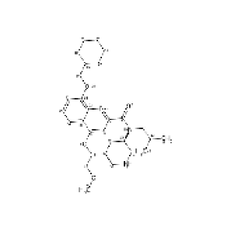 COCCOc1cc(C(=O)N(CC(C)C)[C@@H]2CCCNC2)nc2c(OCC3CCCCC3)cccc12